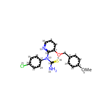 COc1ccc(COc2cccnc2N(C(N)=S)c2ccc(Cl)cc2)cc1